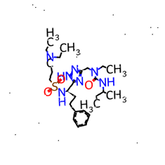 CCC(C)NC(=O)N(CC)Cc1n[nH]c([C@@H](CCc2ccccc2)NS(=O)(=O)CCCN(CC)CC)n1